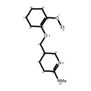 CCOC1=C(OCC2CCC(NC)=NC2)CCCC1